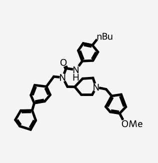 CCCCc1ccc(NC(=O)N(Cc2ccc(-c3ccccc3)cc2)CC2CCN(Cc3ccc(OC)cc3)CC2)cc1